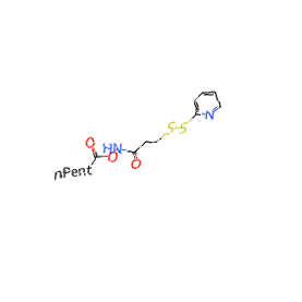 CCCCCC(=O)ONC(=O)CCSSc1ccccn1